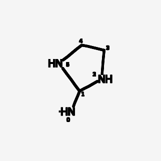 [NH]C1NCCN1